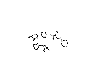 CCOC(=O)Nc1cccc(Cn2nc(-c3ccc(CNC(=O)CCN4CCNCC4)cc3)ccc2=O)c1